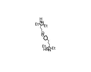 CCc1n[nH]c(CC)c1CCCOOc1ccc(CCCc2c(CC)n[nH]c2CC)cc1